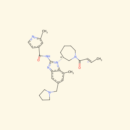 C/C=C/C(=O)N1CCCC[C@@H](n2c(NC(=O)c3ccnc(C)c3)nc3cc(CN4CCCC4)cc(C)c32)C1